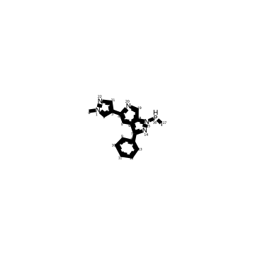 Cn1cc(-c2cc3c(-c4ccccc4)nn(PI)c3cn2)cn1